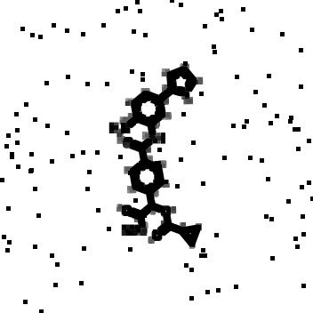 CNC(=O)C(OC(=O)C1CC1)c1ccc(C(=O)Nc2cc(-c3cccs3)ccc2N)cc1